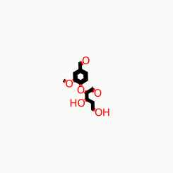 COc1cc(C=O)ccc1OC([C]=O)C(O)CCO